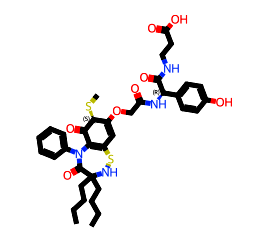 CCCCC1(CCCC)NSC2=C(C(=O)[C@@H](SC)C(OCC(=O)N[C@@H](C(=O)NCCC(=O)O)c3ccc(O)cc3)=C2)N(c2ccccc2)C1=O